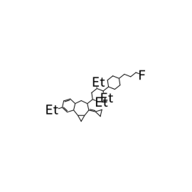 CCC1=CC2C(C=C1)CC(C(CC)C[C@H](CC)C(CC)C1CCC(CCCF)CC1)C(=C1CC1)C1CC12